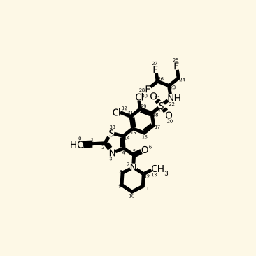 C#Cc1nc(C(=O)N2CCCCC2C)c(-c2ccc(S(=O)(=O)NC(CF)C(F)F)c(Cl)c2Cl)s1